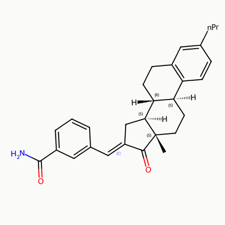 CCCc1ccc2c(c1)CC[C@@H]1[C@@H]2CC[C@]2(C)C(=O)/C(=C/c3cccc(C(N)=O)c3)C[C@@H]12